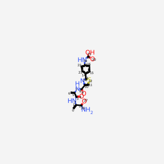 C=C(NC(=O)C(=C)NC(=O)c1csc(-c2ccc(NC(=O)O)cc2)n1)C(N)=O